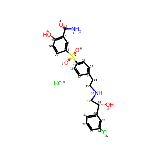 Cl.NC(=O)c1cc(S(=O)(=O)c2ccc(CCNC[C@H](O)c3cccc(Cl)c3)cc2)ccc1O